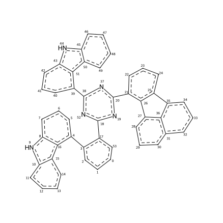 c1ccc(-c2cccc3[nH]c4ccccc4c23)c(-c2nc(-c3cccc4c3-c3cccc5cccc-4c35)nc(-c3cccc4[nH]c5ccccc5c34)n2)c1